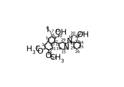 COc1cc2cc(CI)c(CO)c(-c3ccnc(N4CCC(O)c5ccccc54)c3)c2cc1OC